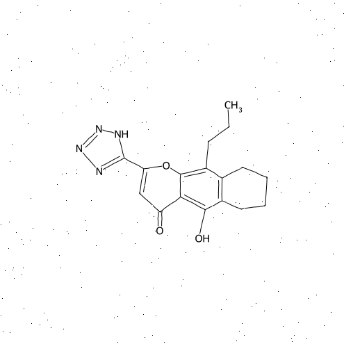 CCCc1c2c(c(O)c3c(=O)cc(-c4nnn[nH]4)oc13)CCCC2